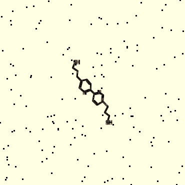 SCCCc1ccc(-c2ccc(CCCS)cn2)nc1